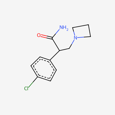 NC(=O)C(CN1CCC1)c1ccc(Cl)cc1